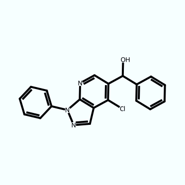 OC(c1ccccc1)c1cnc2c(cnn2-c2ccccc2)c1Cl